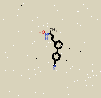 C[C@H](/C=C/c1cccc(-c2ccc(C#N)cc2)c1)NO